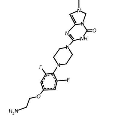 CN1C=C2N=C(N3CCN(c4c(F)cc(OCCN)cc4F)CC3)NC(=O)N2C1